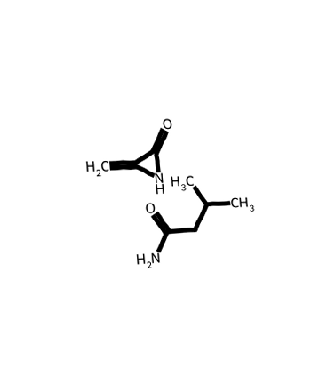 C=C1NC1=O.CC(C)CC(N)=O